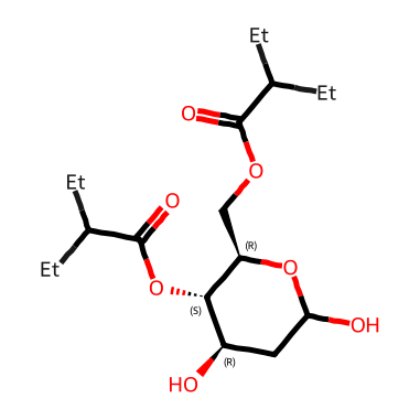 CCC(CC)C(=O)OC[C@H]1OC(O)C[C@@H](O)[C@@H]1OC(=O)C(CC)CC